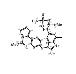 CCCc1nc2c(C)cc(N/C(=N\S(N)(=O)=O)NC)cc2n1Cc1ccc(-c2ccccc2C(=O)OC)cc1